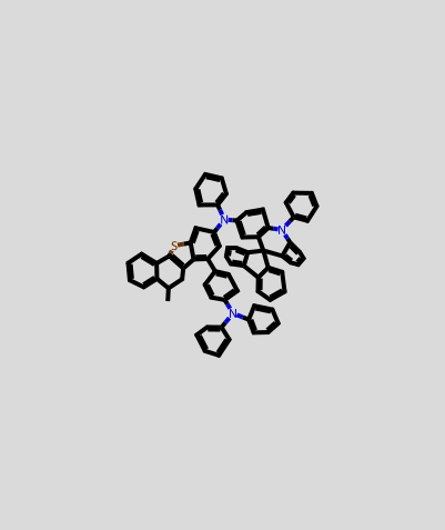 CC1Cc2c(sc3cc(N(c4ccccc4)c4ccc5c(c4)C4(c6ccccc6-c6ccccc64)c4ccccc4N5c4ccccc4)cc(-c4ccc(N(c5ccccc5)c5ccccc5)cc4)c23)-c2ccccc21